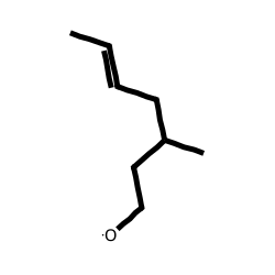 CC=CCC(C)CC[O]